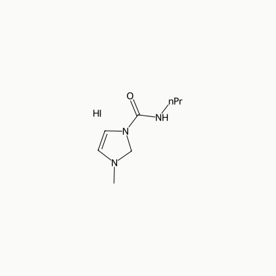 CCCNC(=O)N1C=CN(C)C1.I